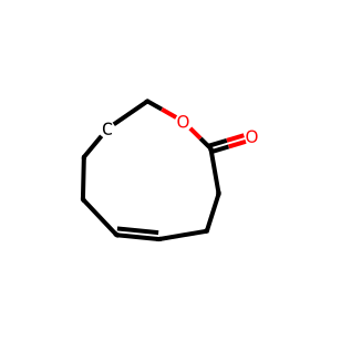 O=C1CCC=CCCCCO1